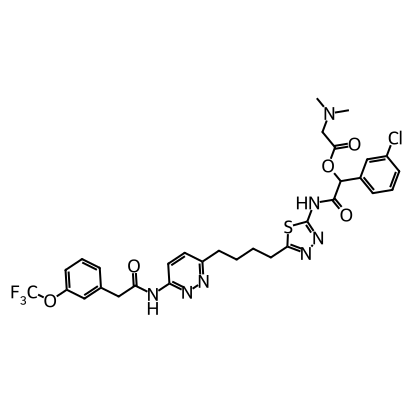 CN(C)CC(=O)OC(C(=O)Nc1nnc(CCCCc2ccc(NC(=O)Cc3cccc(OC(F)(F)F)c3)nn2)s1)c1cccc(Cl)c1